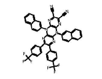 N#Cc1nc2c(nc1C#N)N(c1ccc3ccccc3c1)c1nc(-c3ccc(C(F)(F)F)cc3)c(-c3ccc(C(F)(F)F)cc3)nc1N2c1ccc2ccccc2c1